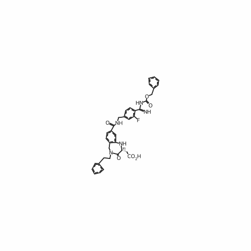 N=C(NC(=O)OCc1ccccc1)c1ccc(CNC(=O)c2ccc3c(c2)N[C@H](CC(=O)O)C(=O)N(CCc2ccccc2)C3)cc1F